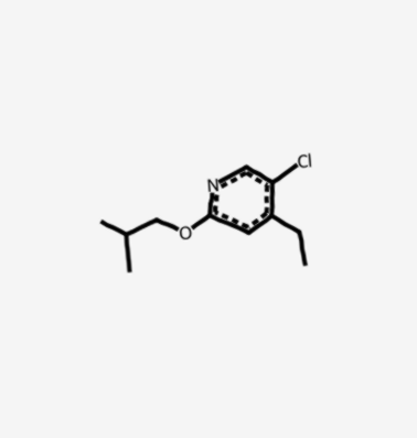 CCc1cc(OCC(C)C)ncc1Cl